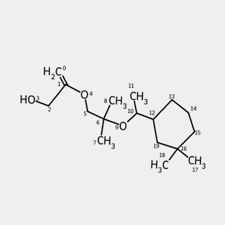 C=C(CO)OCC(C)(C)OC(C)C1CCCC(C)(C)C1